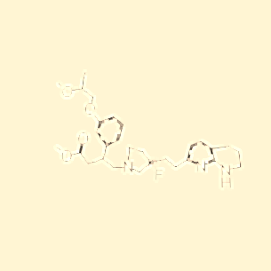 COC(=O)CC(CN1CC[C@@](F)(CCc2ccc3c(n2)NCCC3)C1)c1cccc(OCC(C)OC)c1